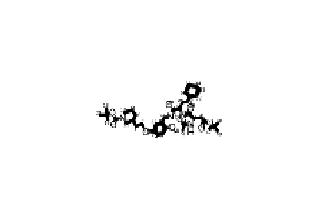 COc1ccc(OCCC2CCCN(C(=O)OC(C)(C)C)C2)cc1CNC(=O)C(CCc1ccccc1)NC(=O)C(CC(=O)OC(C)(C)C)NC(C)=O